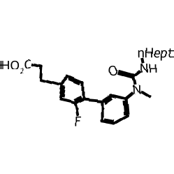 CCCCCCCNC(=O)N(C)c1cccc(-c2ccc(CCC(=O)O)cc2F)c1